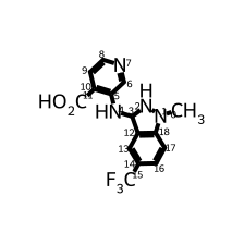 CN1NC(Nc2cnccc2C(=O)O)c2cc(C(F)(F)F)ccc21